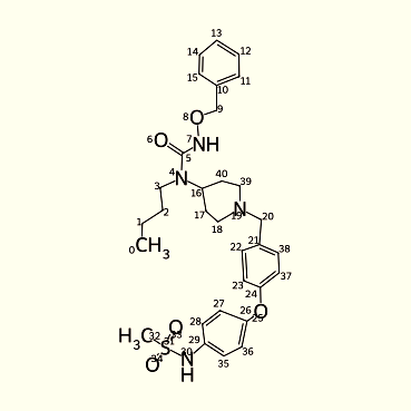 CCCCN(C(=O)NOCc1ccccc1)C1CCN(Cc2ccc(Oc3ccc(NS(C)(=O)=O)cc3)cc2)CC1